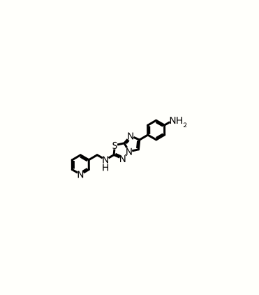 Nc1ccc(-c2cn3nc(NCc4cccnc4)sc3n2)cc1